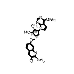 COc1ncnc2c1ccn2C1C[C@H](COc2ccc3cc(Cl)c(N)nc3c2)[C@@H](O)[C@H]1O